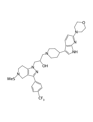 CSN1CCc2c(c(-c3ccc(C(F)(F)F)cc3)nn2CC(O)CN2CCC(c3c[nH]c4nc(N5CCOCC5)ccc34)CC2)C1